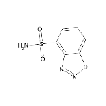 NS(=O)(=O)c1cccc2onnc12